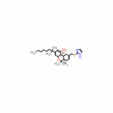 CCCCCCC(C)(C)C1=CC2OC(C)(C)[C@H]3CC=C(CSc4ncc[nH]4)CC3[C@@H]2C(O)=C1